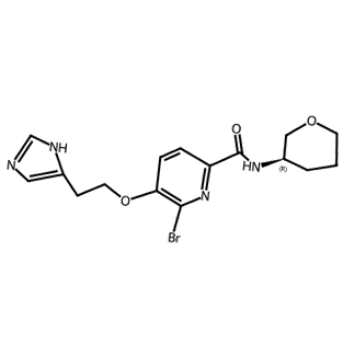 O=C(N[C@@H]1CCCOC1)c1ccc(OCCc2cnc[nH]2)c(Br)n1